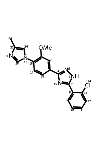 COc1cc(-c2n[nH]c(-c3ccccc3Cl)n2)ccc1-n1cnc(C)c1